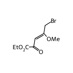 CCOC(=O)C(=O)/C=C(/CBr)OC